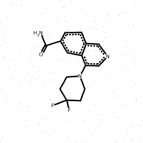 NC(=O)c1ccc2cncc(N3CCC(F)(F)CC3)c2c1